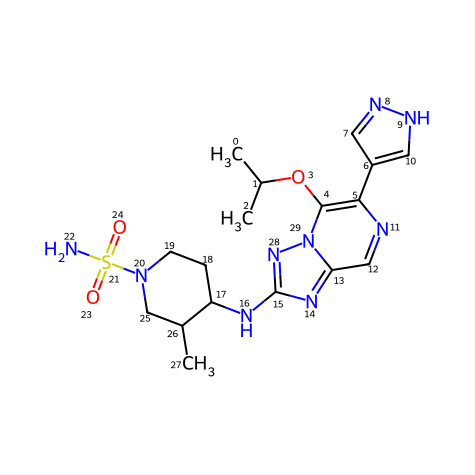 CC(C)Oc1c(-c2cn[nH]c2)ncc2nc(NC3CCN(S(N)(=O)=O)CC3C)nn12